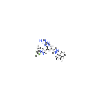 CCC(c1ccccc1)n1cc(-c2cc(-c3cnn(C(C)C(F)(F)F)c3)c3nc(N)nn3c2)cn1